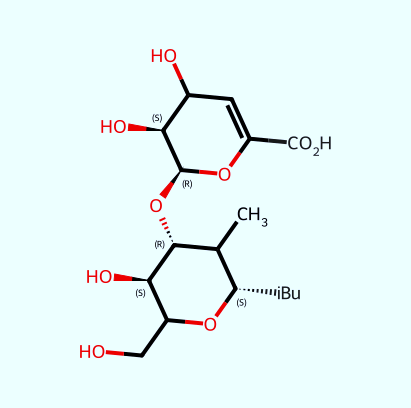 CCC(C)[C@@H]1OC(CO)[C@@H](O)[C@H](O[C@@H]2OC(C(=O)O)=CC(O)[C@@H]2O)C1C